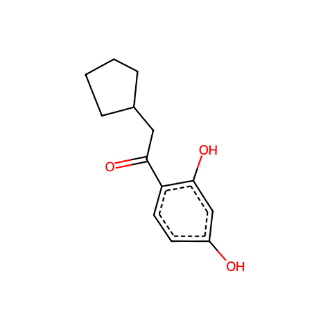 O=C(CC1CCCC1)c1ccc(O)cc1O